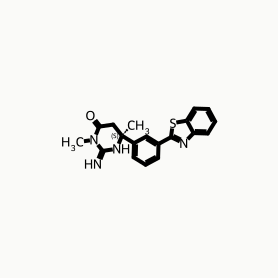 CN1C(=N)N[C@](C)(c2cccc(-c3nc4ccccc4s3)c2)CC1=O